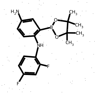 CC1(C)OB(c2cc(N)ccc2Nc2ccc(F)cc2F)OC1(C)C